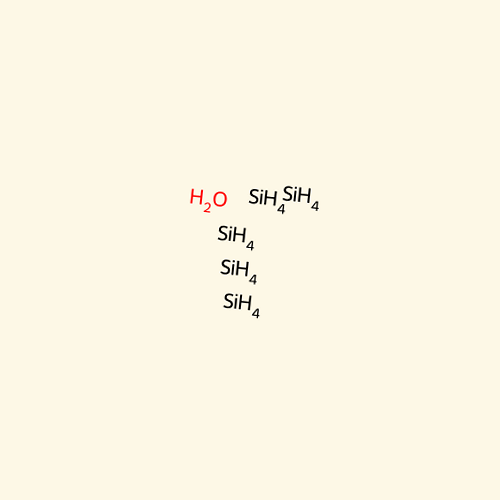 O.[SiH4].[SiH4].[SiH4].[SiH4].[SiH4]